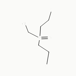 O=P(CCl)(CCCl)CCCl